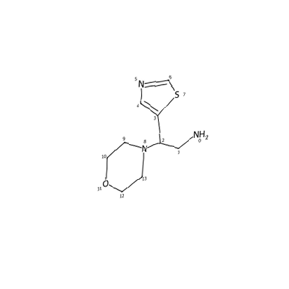 NCC(c1cncs1)N1CCOCC1